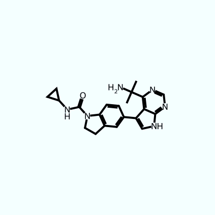 CC(C)(N)c1ncnc2[nH]cc(-c3ccc4c(c3)CCN4C(=O)NC3CC3)c12